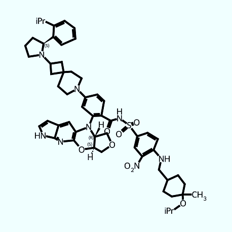 CC(C)OC1(C)CCC(CNc2ccc(S(=O)(=O)NC(=O)c3ccc(N4CCC5(CC4)CC(N4CCC[C@H]4c4ccccc4C(C)C)C5)cc3N3c4cc5cc[nH]c5nc4O[C@@H]4COC[C@H]43)cc2[N+](=O)[O-])CC1